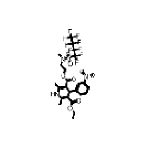 CCOC(=O)C1=C(C)NC(C)=C(C(=O)OCCN(C)S(=O)(=O)C(F)(F)C(F)(F)C(F)(F)C(F)(F)F)C1c1cccc([N+](=O)[O-])c1